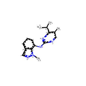 Cc1cnc(Nc2cccc3cnn(C)c23)nc1C(C)C